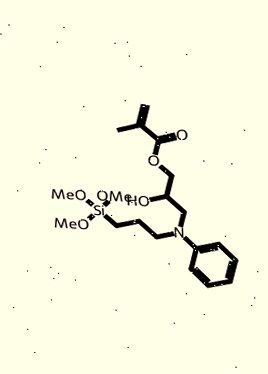 C=C(C)C(=O)OCC(O)CN(CCC[Si](OC)(OC)OC)c1ccccc1